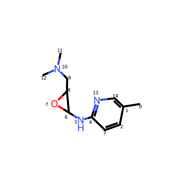 Cc1ccc(NC2OC2CN(C)C)nc1